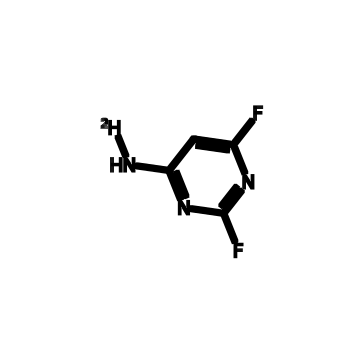 [2H]Nc1cc(F)nc(F)n1